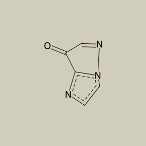 O=C1C=Nn2ccnc21